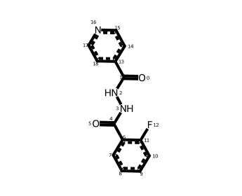 O=C(NNC(=O)c1ccccc1F)c1ccncc1